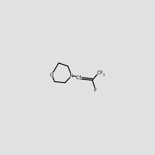 F[C](=[Cf][N]1CCOCC1)C(F)(F)F